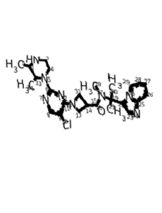 CC1NCCN(c2ncc(Cl)c(N3CC(C(=O)N(C)C(C)(C)c4cnc5ccccn45)C3)n2)C1C